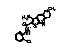 CN1CCc2nc3sc(C(=O)Nc4ccccc4Cl)c(N)c3cc2C1